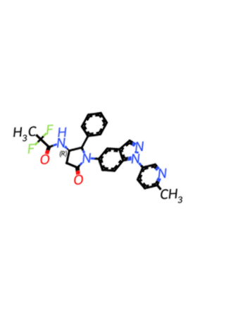 Cc1ccc(-n2ncc3cc(N4C(=O)C[C@@H](NC(=O)C(C)(F)F)C4c4ccccc4)ccc32)cn1